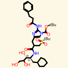 CC(C)(C)OC(=O)n1cc(CC(CS(=O)(=O)C(C)(C)C)C(=O)N[C@@H](CC2CCCCC2)[C@@H](O)C(O)CO)nc1NC(=O)CCc1ccccc1